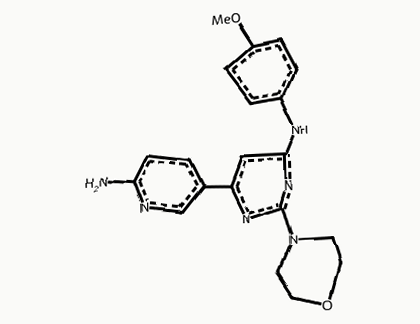 COc1ccc(Nc2cc(-c3ccc(N)nc3)nc(N3CCOCC3)n2)cc1